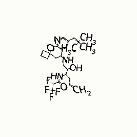 C=CCC(NC(=O)[C@@H](F)C(F)(F)F)[C@H](O)CN[C@H]1CC2(CCC2)Oc2ncc(CC(C)(C)C)cc21